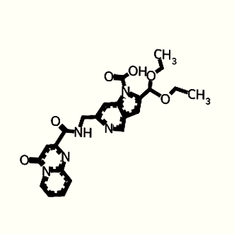 CCOC(OCC)c1cc2cnc(CNC(=O)c3cc(=O)n4ccccc4n3)cc2n1C(=O)O